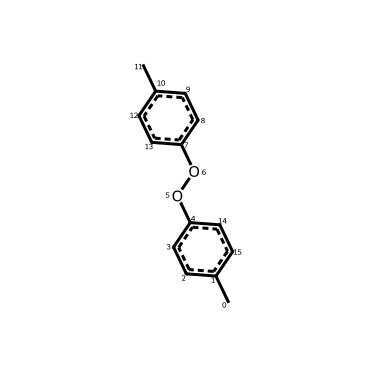 Cc1ccc(OOc2ccc(C)cc2)cc1